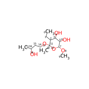 CCC1C(O)C(O)C(OC)OC1(C)OCCC(C)O